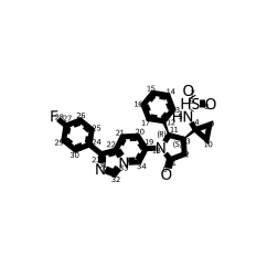 O=C1C[C@H](C2(N[SH](=O)=O)CC2)[C@H](c2ccccc2)N1c1ccc2c(-c3ccc(F)cc3)ncn2c1